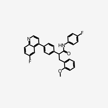 COc1ccccc1CC(C(=O)Nc1ccc(F)cc1)c1ccc(-c2ccnc3ccc(F)cc23)cc1